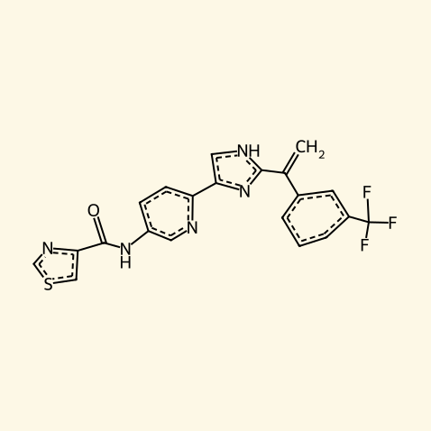 C=C(c1cccc(C(F)(F)F)c1)c1nc(-c2ccc(NC(=O)c3cscn3)cn2)c[nH]1